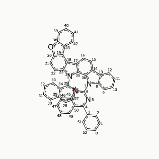 c1ccc(-c2nc(-n3c4ccccc4c4ccc5c6c7c(ccc6n(-c6cccc8ccccc68)c5c43)oc3ccccc37)nc3ccccc23)cc1